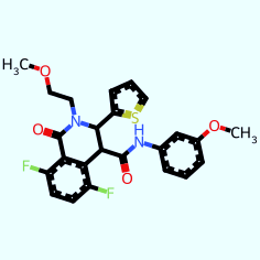 COCCN1C(=O)c2c(F)ccc(F)c2C(C(=O)Nc2cccc(OC)c2)C1c1cccs1